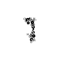 Cc1cc(S(=O)(=O)N2CCC(CCN3CCN(c4cccc5c4n(C)c(=O)n5C4CCC(=O)NC4=O)CC3)CC2)ccc1Nc1ncc2cc(Cl)c(=O)n(C3CCCC3)c2n1